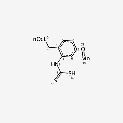 CCCCCCCCCc1ccccc1NC(=S)S.[O]=[Mo]